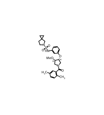 CO[C@@H]1CN(C(=O)c2cc(C)ccc2C)C[C@H]1Oc1cccc(NS(=O)(=O)N2CCC3(CC3)C2)c1